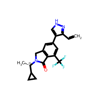 C=Cc1n[nH]cc1-c1cc2c(c(C(F)(F)F)c1)C(=O)N([C@@H](C)C1CC1)C2